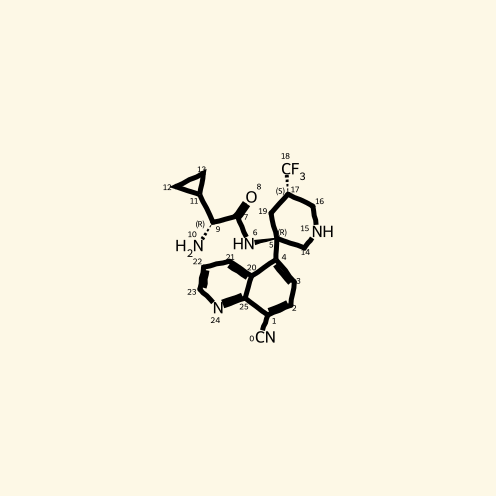 N#Cc1ccc([C@@]2(NC(=O)[C@H](N)C3CC3)CNC[C@@H](C(F)(F)F)C2)c2cccnc12